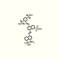 Nc1ccc(/N=N/c2ccc(/N=N/c3cc(S(=O)(=O)O)ccc3S(=O)(=O)O)c3ccc(S(=O)(=O)O)cc23)c2cccc(S(=O)(=O)O)c12